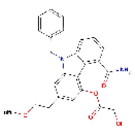 CCCOCCc1cc(OC(=O)CO)c2c3c(C(N)=O)cccc3n(Cc3ccccc3)c2c1